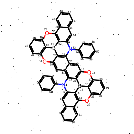 c1ccc(N2c3cc4ccccc4c4c3B3c5c(cccc5O4)Oc4cc5c6c7c(cc5c2c43)Oc2cccc3c2B7c2c(cc4ccccc4c2O3)N6c2ccccc2)cc1